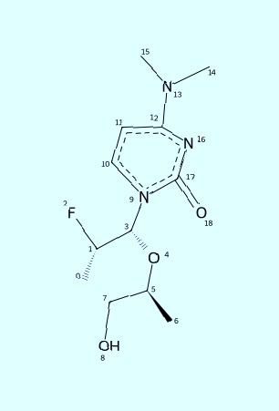 C[C@H](F)[C@@H](O[C@@H](C)CO)n1ccc(N(C)C)nc1=O